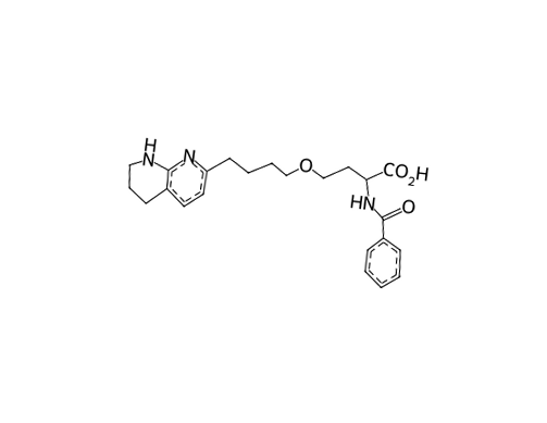 O=C(NC(CCOCCCCc1ccc2c(n1)NCCC2)C(=O)O)c1ccccc1